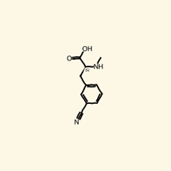 CN[C@@H](Cc1cccc(C#N)c1)C(=O)O